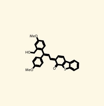 COc1ccc(/C(=C\C=C2/C=Cc3c(sc4ccccc34)C2=O)c2ccc(OC)cc2CO)cc1